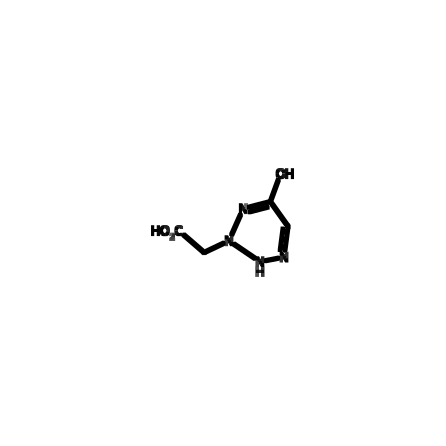 O=C(O)CN1N=C(O)C=NN1